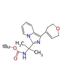 CC(C)(C)OC(=O)NC(C)(C)c1nc(C2=CCOCC2)c2ccccn12